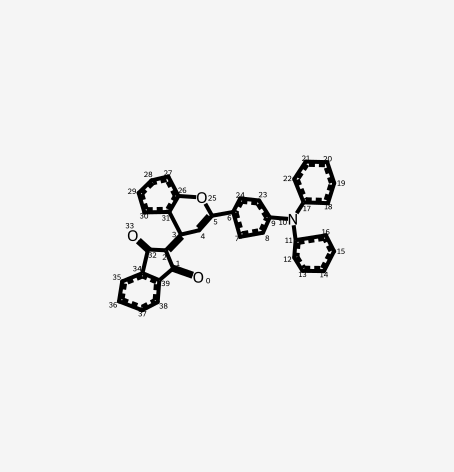 O=C1C(=C2C=C(c3ccc(N(c4ccccc4)c4ccccc4)cc3)Oc3ccccc32)C(=O)c2ccccc21